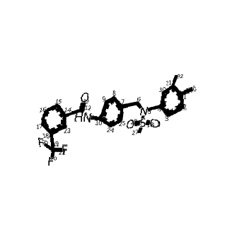 Cc1ccc(N(Cc2ccc(NC(=O)c3cccc(C(F)(F)F)c3)cc2)S(C)(=O)=O)cc1C